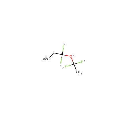 CC(=O)OCC(F)(F)OC(C)(F)F